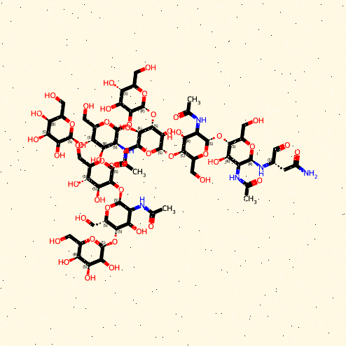 CC(=O)NC1C(O)[C@H](O[C@@H]2OC(CO)[C@H](O)[C@H](O)C2O)[C@H](CO)O[C@H]1OC1[C@@H](OCC2O[C@@H](O[C@@H]3C(CO)O[C@@H](O[C@@H]4C(CO)O[C@@H](N[C@H](C=O)CC(N)=O)C(NC(C)=O)[C@H]4O)C(NC(C)=O)[C@H]3O)C(O)[C@@H](O[C@H]3OC(CO)[C@@H](O)C(O)C3OC3OC(CO)[C@@H](O[C@@H]4OC(CO)[C@H](O)[C@H](O)C4O)[C@H](O)[C@@H]3NC(C)=O)[C@@H]2O)OC(CO)[C@@H](O)[C@@H]1O